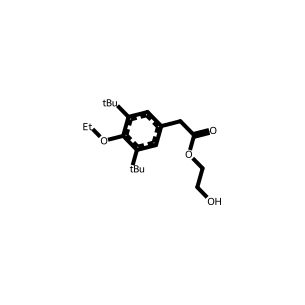 CCOc1c(C(C)(C)C)cc(CC(=O)OCCO)cc1C(C)(C)C